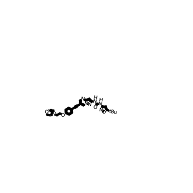 CC(C)(C)c1cc(NC(=O)Nc2cc3ncc(C#Cc4ccc(OCCN5CC6CC5CO6)cc4)cn3n2)no1